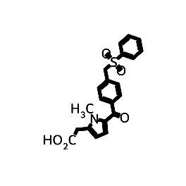 Cn1c(CC(=O)O)ccc1C(=O)c1ccc(CS(=O)(=O)c2ccccc2)cc1